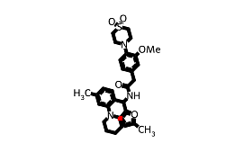 COc1cc(CC(=O)NC(c2ccc(C)o2)c2ccc(C)cc2N2CCCCC2)ccc1N1CCS(=O)(=O)CC1